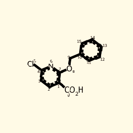 O=C(O)c1ccc(Cl)nc1OCc1ccccc1